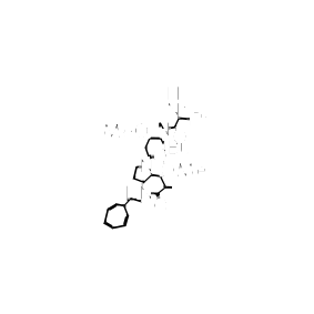 CCC(C)C(C(CC(=O)N1CCCC1C(OC)C(C)C(=O)NCCC1C=CC=CC=C1)OC)N(C)C(=O)C(N)C(C)C